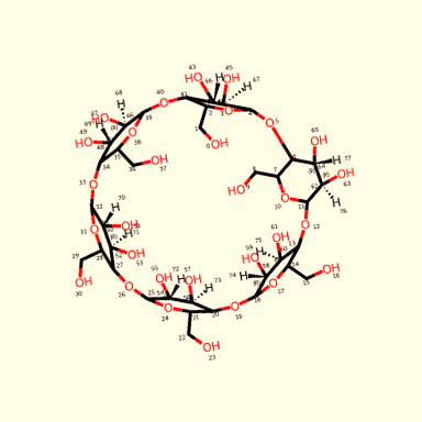 OCC1OC2OC3C(CO)OC(OC4C(CO)OC(OC5C(CO)OC(OC6C(CO)OC(OC7C(CO)OC(OC1[C@H](O)[C@H]2O)[C@H](O)[C@H]7O)[C@H](O)[C@H]6O)[C@H](O)[C@H]5O)[C@H](O)[C@H]4O)[C@H](O)[C@H]3O